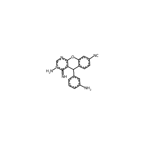 [C-]#[N+]c1ccc2c(c1)Oc1ncn(N)c(=N)c1C2c1cccc(N)c1